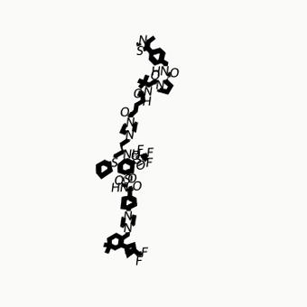 Cc1ncsc1-c1ccc(CNC(=O)[C@@H]2CCCN2C(=O)[C@@H](NC(=O)CCCC(=O)N2CCN(CC[C@H](CSc3ccccc3)Nc3ccc(S(=O)(=O)NC(=O)c4ccc(N5CCN(CC6=C(C78CC(C(F)F)(C7)C8)CC(C)(C)CC6)CC5)cc4)cc3S(=O)(=O)C(F)(F)F)CC2)C(C)(C)C)cc1